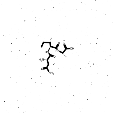 CC[C@H](C)[C@H](NC(=O)[C@@H](N)CC(N)=O)C(=O)N[C@@H](C)C(=O)O